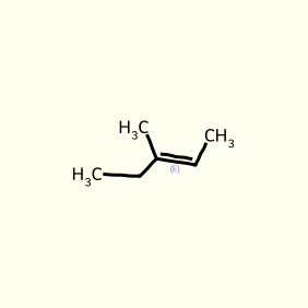 C/C=C(\C)CC